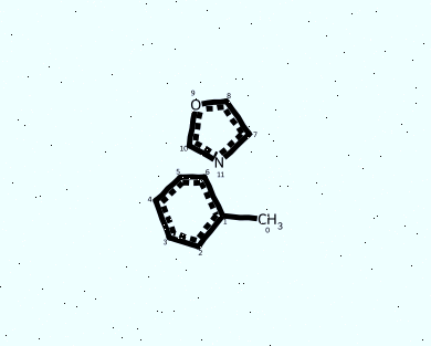 Cc1ccccc1.c1cocn1